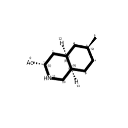 CC(=O)[C@@H]1C[C@H]2C[C@@H](C)CC[C@H]2CN1